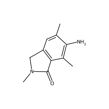 Cc1cc2c(c(C)c1N)C(=O)N(C)C2